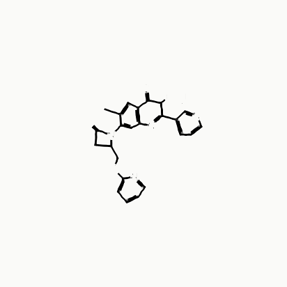 Cc1cc2c(cc1N1C(=O)CC1COc1ccccn1)N=C(c1cccnc1)C(C(=O)O)C2=O